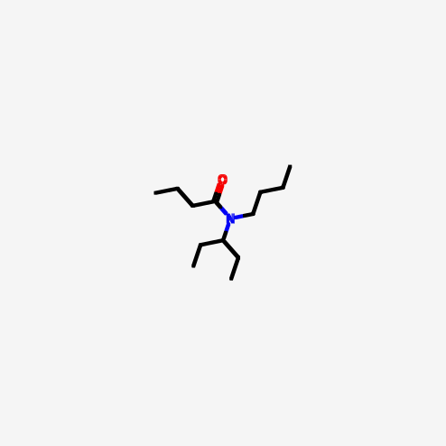 CCCCN(C(=O)CCC)C(CC)CC